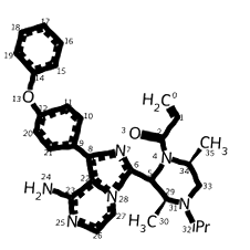 C=CC(=O)N1C(c2nc(-c3ccc(Oc4ccccc4)cc3)c3c(N)nccn23)[C@H](C)N(C(C)C)C[C@@H]1C